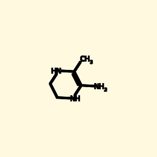 CC1=C(N)NCCN1